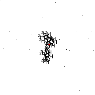 [2H]c1c([2H])c([2H])c(C(O[C@@H]2CCCN(CC([2H])([2H])c3c([2H])c([2H])c4c(c3[2H])OC([2H])([2H])O4)C2)c2c([2H])c([2H])c([2H])c([2H])c2[2H])c([2H])c1[2H]